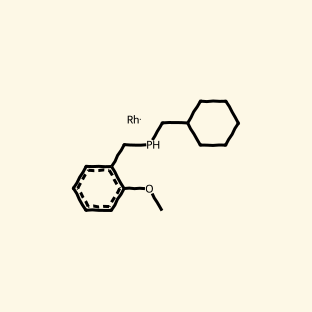 COc1ccccc1CPCC1CCCCC1.[Rh]